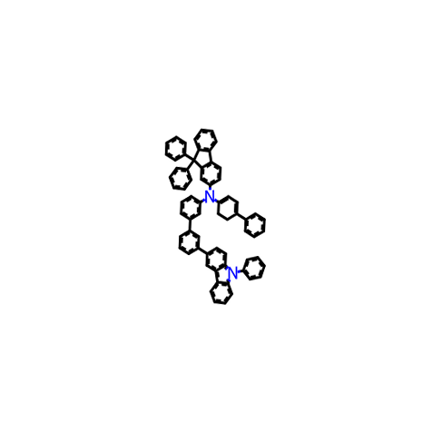 C1=C(c2ccccc2)CCC(N(c2cccc(-c3cccc(-c4ccc5c(c4)c4ccccc4n5-c4ccccc4)c3)c2)c2ccc3c(c2)C(c2ccccc2)(c2ccccc2)c2ccccc2-3)=C1